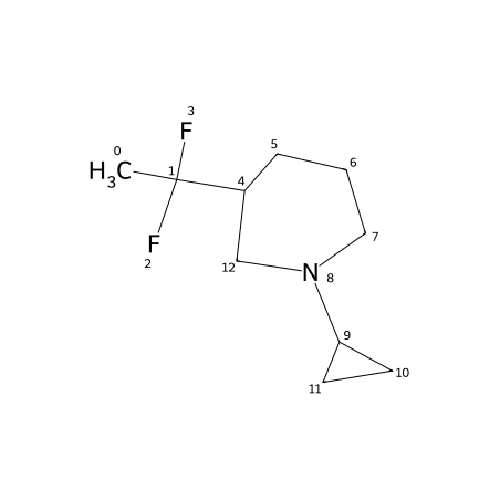 CC(F)(F)C1CCCN(C2CC2)C1